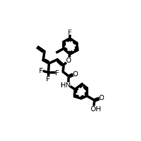 C=C/C=C(\C=C(/CC(=O)Nc1ccc(C(=O)O)cc1)Oc1ccc(F)cc1C)C(F)(F)F